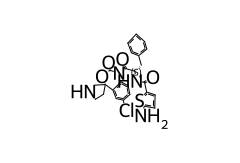 Nc1ccc(C(=O)N[C@@H](Cc2ccccc2)C(=O)N2C(=O)OC3(CCNC3)c3cc(Cl)ccc32)s1